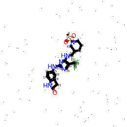 CS(=O)(=O)N1CCCC(CNc2nc(Nc3ccc4c(c3)CC(=O)N4)ncc2C(F)(F)F)C1